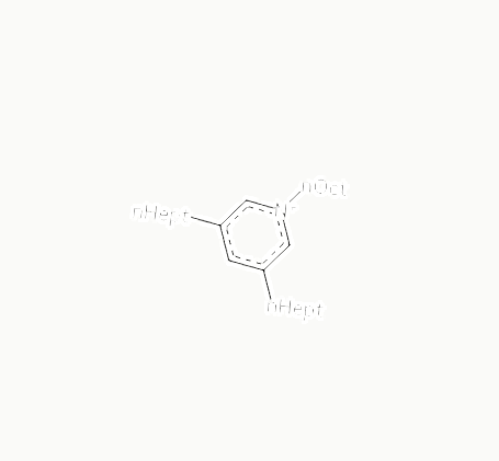 CCCCCCCC[n+]1cc(CCCCCCC)cc(CCCCCCC)c1